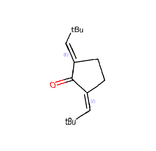 CC(C)(C)/C=C1/CC/C(=C\C(C)(C)C)C1=O